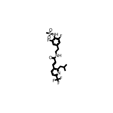 CC(C)Cc1nc(C(F)(F)F)ccc1C=CC(=O)NCCc1cc(F)c(NS(C)(=O)=O)c(F)c1